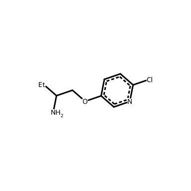 [CH2]CC(N)COc1ccc(Cl)nc1